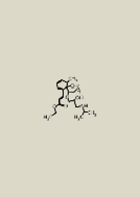 CCOC(=O)/C=C/C1=CC=CC(C)C1(C)[C@@H](CC)OCC(O)CNC(C)C